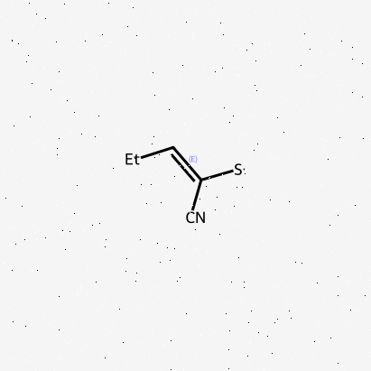 CC/C=C(/[S])C#N